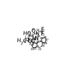 C=CC(=O)/C(O)=C1/C(=O)N(CC(F)F)CN(C2c3ccccc3CCc3ccccc32)N1C